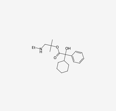 CCNCC(C)(C)OC(=O)C(O)(c1ccccc1)C1CCCCC1